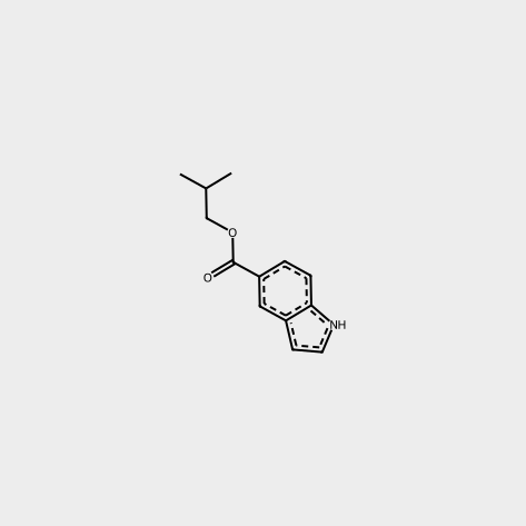 CC(C)COC(=O)c1ccc2[nH]ccc2c1